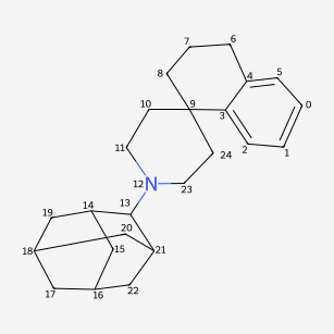 c1ccc2c(c1)CCCC21CCN(C2C3CC4CC(C3)CC2C4)CC1